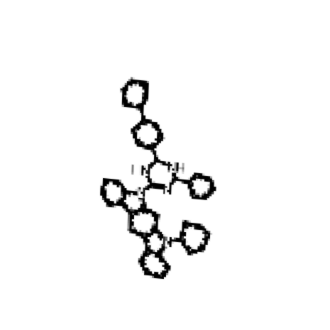 c1ccc(-c2ccc(C3NC(n4c5ccccc5c5cc6c7ccccc7n(-c7ccccc7)c6cc54)=NC(c4ccccc4)N3)cc2)cc1